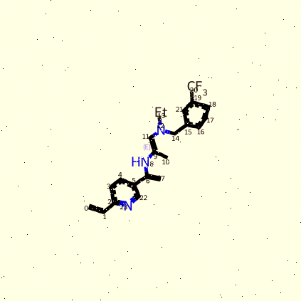 C=Cc1ccc(C(=C)N/C(C)=C/N(CC)Cc2cccc(C(F)(F)F)c2)cn1